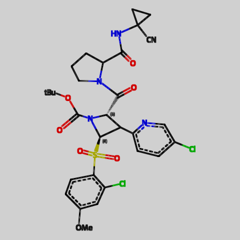 COc1ccc(S(=O)(=O)[C@@H]2C(c3ccc(Cl)cn3)[C@@H](C(=O)N3CCCC3C(=O)NC3(C#N)CC3)N2C(=O)OC(C)(C)C)c(Cl)c1